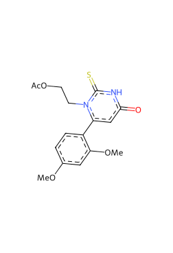 COc1ccc(-c2cc(=O)[nH]c(=S)n2CCOC(C)=O)c(OC)c1